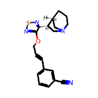 N#Cc1cccc(C#CCOc2nsnc2[C@H]2CN3CCC[C@H]2C3)c1